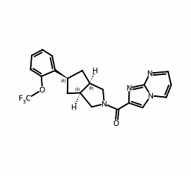 O=C(c1cn2cccnc2n1)N1C[C@H]2C[C@@H](c3ccccc3OC(F)(F)F)C[C@H]2C1